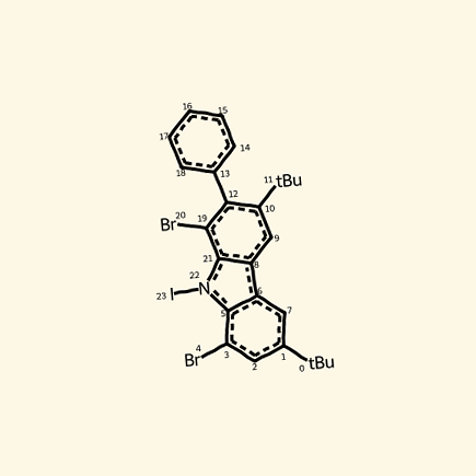 CC(C)(C)c1cc(Br)c2c(c1)c1cc(C(C)(C)C)c(-c3ccccc3)c(Br)c1n2I